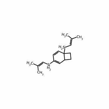 CC(C)=C[SiH2]C1=CC2CCC2([SiH2]C=C(C)C)C=C1